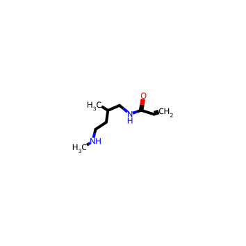 C=CC(=O)NCC(C)CCNC